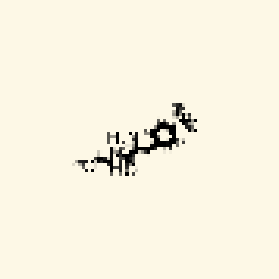 COCCNC(=O)[C@@H](N)Cc1ccc([N+](=O)[O-])cc1